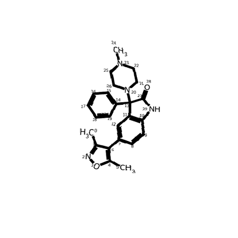 Cc1noc(C)c1-c1ccc2c(c1)C(c1ccccc1)(N1CCN(C)CC1)C(=O)N2